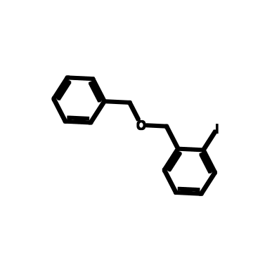 Ic1ccccc1COCc1ccccc1